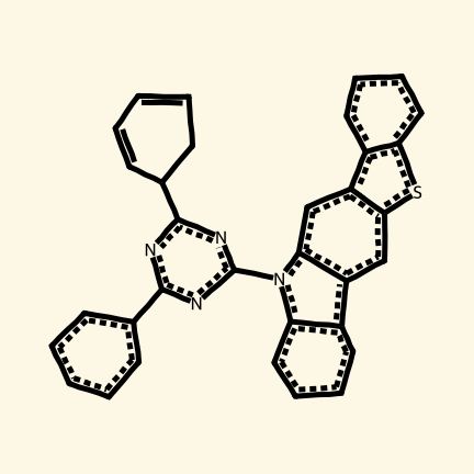 C1=CCC(c2nc(-c3ccccc3)nc(-n3c4ccccc4c4cc5sc6ccccc6c5cc43)n2)C=C1